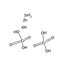 [KH].[O]=[Cr](=[O])([OH])[OH].[O]=[Cr](=[O])([OH])[OH].[SrH2].[Zn]